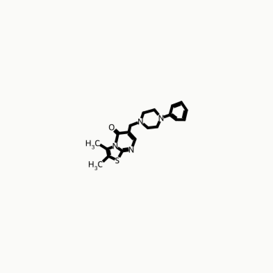 Cc1sc2ncc(CN3CCN(c4ccccc4)CC3)c(=O)n2c1C